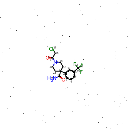 NC(=O)C1(c2cccc(C(F)(F)F)c2)CCN(C(=O)CCl)CC1